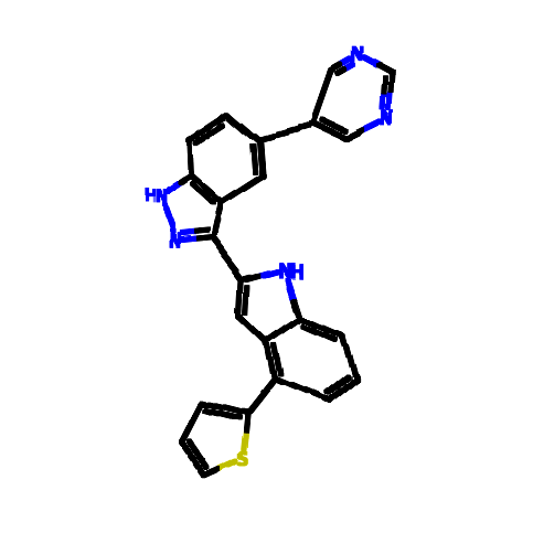 c1csc(-c2cccc3[nH]c(-c4n[nH]c5ccc(-c6cncnc6)cc45)cc23)c1